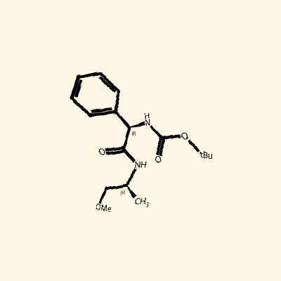 COC[C@H](C)NC(=O)[C@H](NC(=O)OC(C)(C)C)c1ccccc1